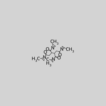 CC1CN1C(=O)CC(C(=O)N1CC1C)C(CC(=O)N1CC1C)C(=O)N1CC1C